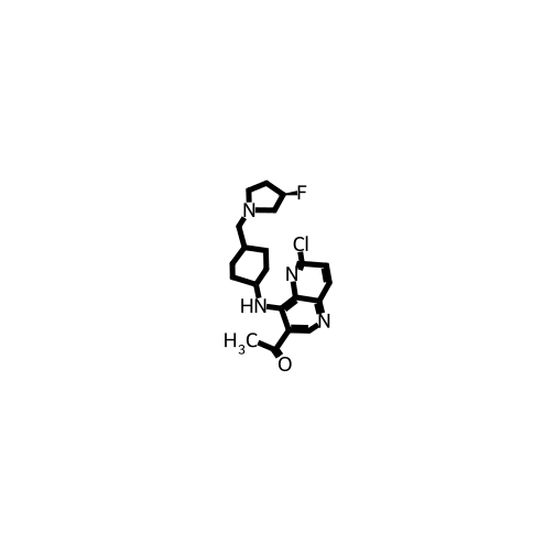 CC(=O)c1cnc2ccc(Cl)nc2c1NC1CCC(CN2CC[C@@H](F)C2)CC1